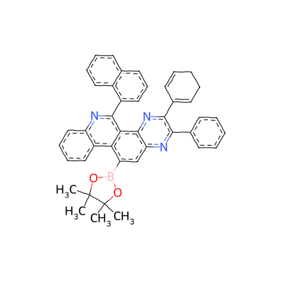 CC1(C)OB(c2cc3nc(-c4ccccc4)c(C4=CCCC=C4)nc3c3c(-c4cccc5ccccc45)nc4ccccc4c23)OC1(C)C